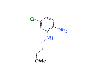 COCCCNc1cc(Cl)ccc1N